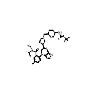 CCN(C(=O)c1cc(F)ccc1-c1cc(C2CCN(CC3CCC(NC(=O)OC(C)(C)C)CC3)C2)nc2[nH]ncc12)C(C)C